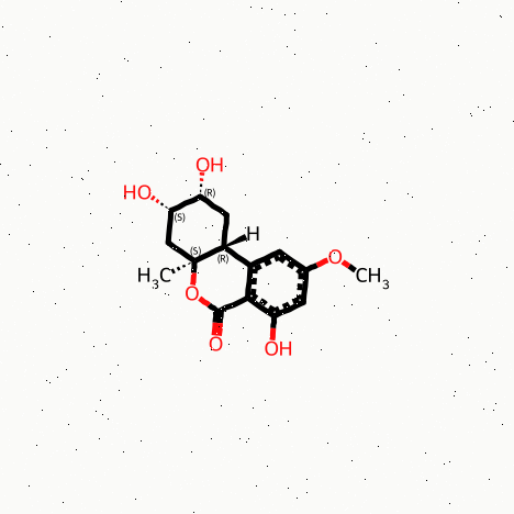 COc1cc(O)c2c(c1)[C@H]1C[C@@H](O)[C@@H](O)C[C@]1(C)OC2=O